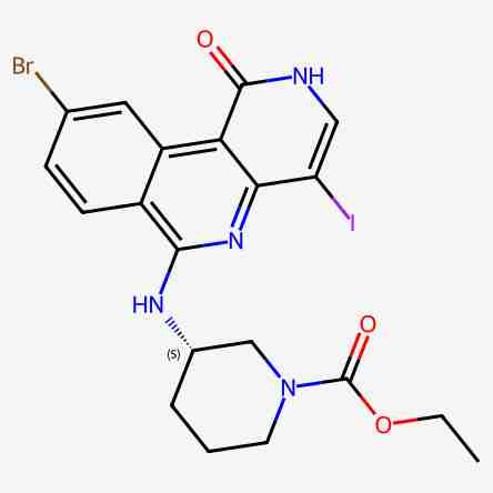 CCOC(=O)N1CCC[C@H](Nc2nc3c(I)c[nH]c(=O)c3c3cc(Br)ccc23)C1